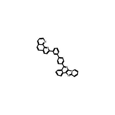 c1cc(-c2ccc(-c3nc4c(nc5ccccn54)c4ccccc34)cc2)cc(-c2ccc3ccc4cccnc4c3n2)c1